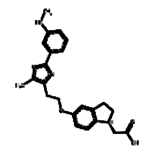 CNc1cccc(-c2nc(CCOc3ccc4c(c3)CC[C@H]4CC(=O)O)c(C)o2)c1